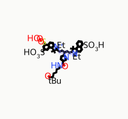 CCN1/C(=C/C=C(/C=C/C2=[N+](CC)c3ccc4c(SOOO)cc(S(=O)(=O)O)cc4c3C2(C)C)c2ccc(C(=O)NCCCCCC(=O)C(C)(C)C)cn2)C(C)(C)c2c1ccc1c(S(=O)(=O)O)cccc21